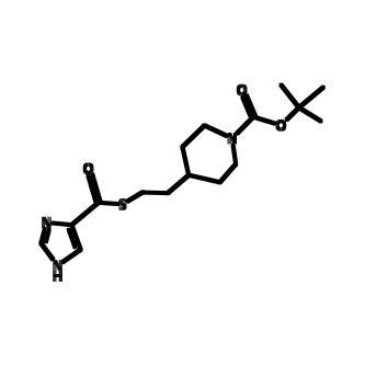 CC(C)(C)OC(=O)N1CCC(CCSC(=O)c2c[nH]cn2)CC1